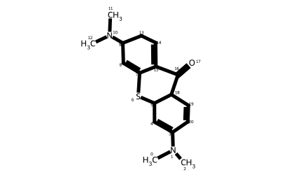 CN(C)C1=CC2SC3=CC(N(C)C)CC=C3C(=O)C2C=C1